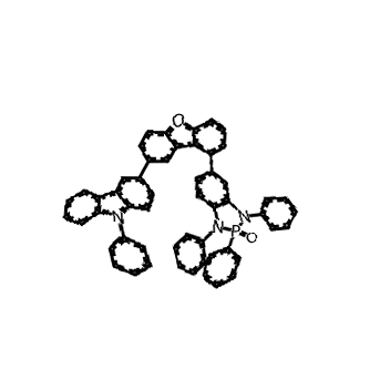 O=P1(c2ccccc2)N(c2ccccc2)c2ccc(-c3cccc4oc5ccc(-c6ccc7c(c6)c6ccccc6n7-c6ccccc6)cc5c34)cc2N1c1ccccc1